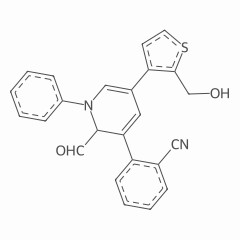 N#Cc1ccccc1C1=CC(c2ccsc2CO)=CN(c2ccccc2)C1C=O